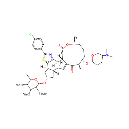 CC[C@H]1CCC[C@H](O[C@H]2CC[C@H](N(C)C)C(C)O2)[C@@H](C)C(=O)C2=C[C@H]3[C@@H]4C[C@H](O[C@@H]5OC(C)[C@H](OC)C(OC)C5OC)C[C@H]4c4sc(-c5ccc(Cl)cc5)nc4[C@H]3[C@@H]2CC(=O)O1